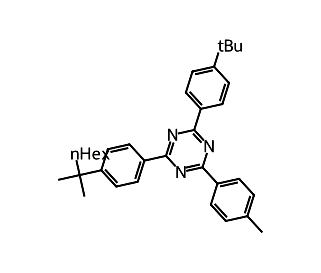 CCCCCCC(C)(C)c1ccc(-c2nc(-c3ccc(C)cc3)nc(-c3ccc(C(C)(C)C)cc3)n2)cc1